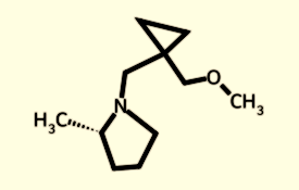 COCC1(CN2CCC[C@@H]2C)CC1